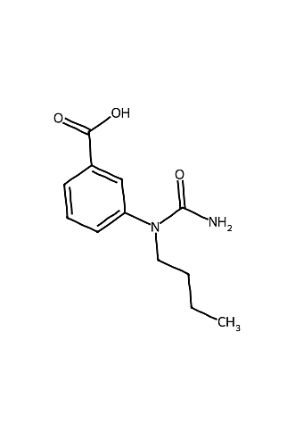 CCCCN(C(N)=O)c1cccc(C(=O)O)c1